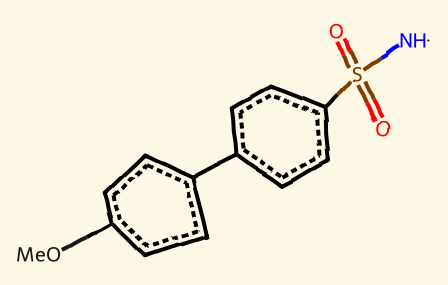 COc1ccc(-c2ccc(S([NH])(=O)=O)cc2)cc1